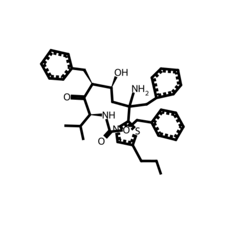 CCCc1cnc(C(N)(Cc2ccccc2)C[C@H](O)[C@H](Cc2ccccc2)C(=O)[C@@H](NC(=O)OCc2ccccc2)C(C)C)s1